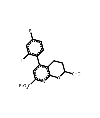 CCOC(=O)c1cc(-c2ccc(F)cc2F)c2c(n1)OC(C=O)CC2